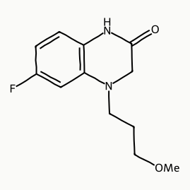 COCCCN1CC(=O)Nc2ccc(F)cc21